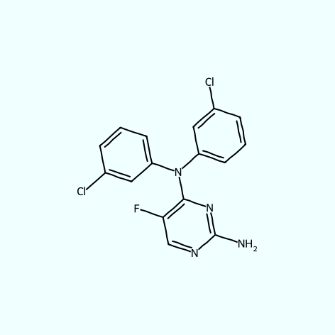 Nc1ncc(F)c(N(c2cccc(Cl)c2)c2cccc(Cl)c2)n1